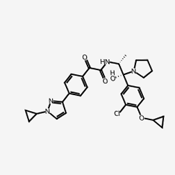 C[C@@H](NC(=O)C(=O)c1ccc(-c2ccn(C3CC3)n2)cc1)[C@](O)(c1ccc(OC2CC2)c(Cl)c1)N1CCCC1